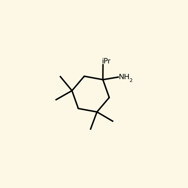 CC(C)C1(N)CC(C)(C)CC(C)(C)C1